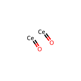 [O]=[Ce].[O]=[Ce]